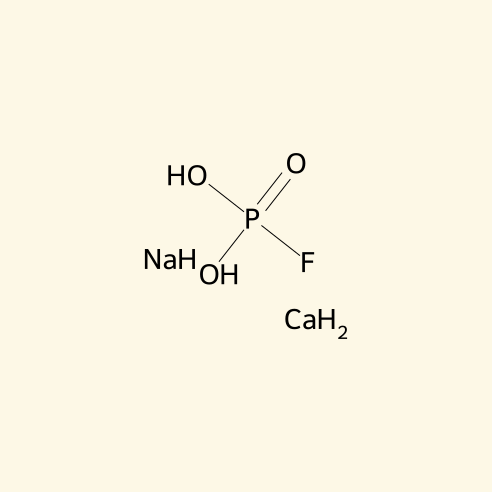 O=P(O)(O)F.[CaH2].[NaH]